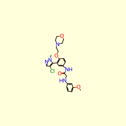 COc1cccc(NCC(=O)Nc2ccc(OCCN3CCOCC3)c(-c3c(Cl)cnn3C)c2)c1